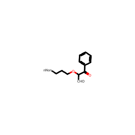 CCCCCCCCCCCCOC(C=O)C(=O)c1ccccc1